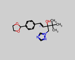 CC(C)(C)C(O)(/C=C/c1ccc(C2OCCO2)cc1)Cn1cncn1